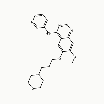 COc1cc2ncnc(Nc3cccnc3)c2cc1OCCCN1CCOCC1